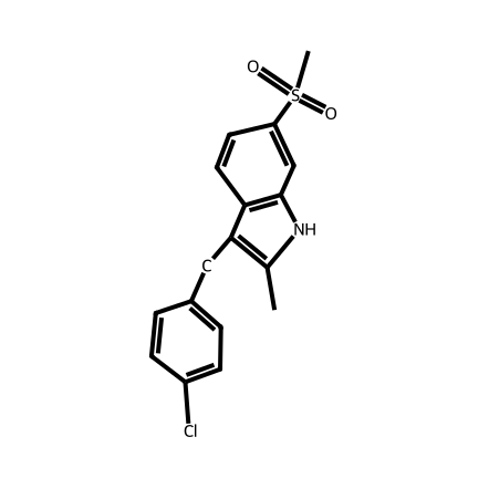 Cc1[nH]c2cc(S(C)(=O)=O)ccc2c1Cc1ccc(Cl)cc1